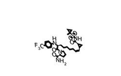 CC1(S(=O)(=O)NC(=O)[C@H]2C[C@H]2/C=C\CCCCC[C@H](Nc2ccc(C(F)(F)F)cc2)C(=O)N2CCC[C@H]2C(N)=O)CC1